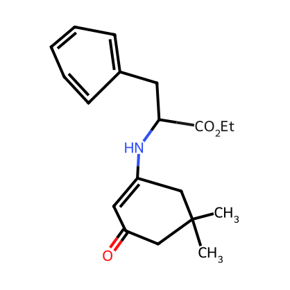 CCOC(=O)C(Cc1ccccc1)NC1=CC(=O)CC(C)(C)C1